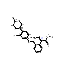 CO/C=C(/C(=O)OC)c1ccccc1COc1ccc(N2CCN(C)CC2)c(F)c1